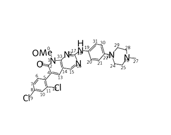 COn1c(=O)c(-c2ccc(Cl)cc2Cl)cc2cnc(Nc3ccc(N4CCN(C)CC4)cc3)nc21